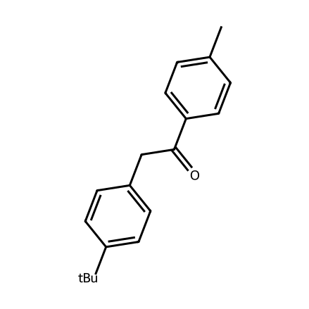 Cc1ccc(C(=O)Cc2ccc(C(C)(C)C)cc2)cc1